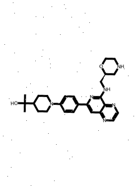 CC(C)(O)C1CCN(c2ccc(-c3cc4nccnc4c(NC[C@@H]4CNCCO4)n3)cc2)CC1